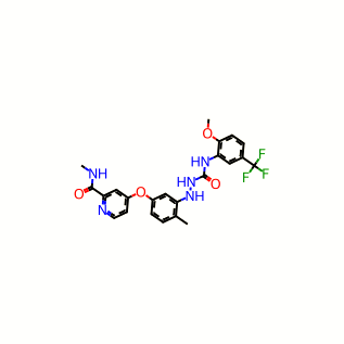 CNC(=O)c1cc(Oc2ccc(C)c(NNC(=O)Nc3cc(C(F)(F)F)ccc3OC)c2)ccn1